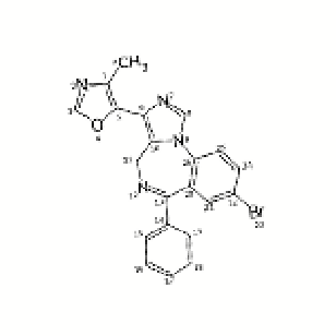 Cc1ncoc1-c1ncn2c1CN=C(c1ccccc1)c1cc(Br)ccc1-2